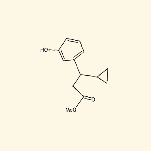 COC(=O)CC(c1cccc(O)c1)C1CC1